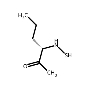 CCC[C@H](NS)C(C)=O